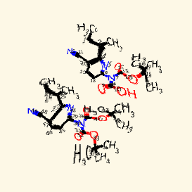 CCC(C)c1nc(N(C(=O)O)C(=O)OC(C)(C)C)ccc1C#N.CCC(C)c1nc(N(C(=O)OC(C)(C)C)C(=O)OC(C)(C)C)ccc1C#N